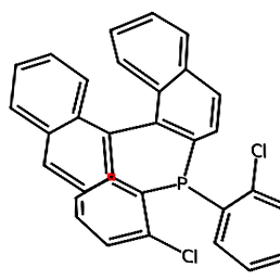 Clc1ccccc1P(c1ccccc1Cl)c1ccc2ccccc2c1-c1cccc2ccccc12